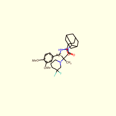 COc1ccc(CNC(=O)C23CC4CC(C2)C(NC(=O)C(C)(C)N2CCCC(F)(F)C2)C(C4)C3)cc1OC